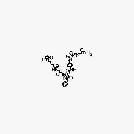 CN(CCSCCC(N)=O)C(=O)OCc1ccc(NC(=O)CNC(=O)[C@H](Cc2ccccc2)NC(=O)CNC(=O)CNC(=O)CCCCCN2C(=O)C=CC2=O)cc1